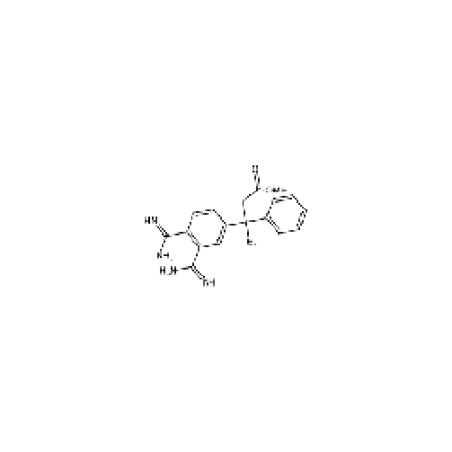 CCC(CC(=O)OC)(c1ccccc1)c1ccc(C(=N)N)c(C(=N)N)c1